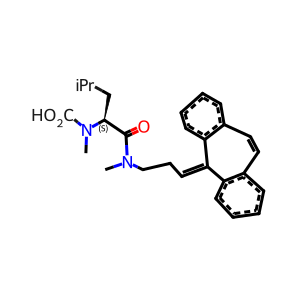 CC(C)C[C@@H](C(=O)N(C)CCC=C1c2ccccc2C=Cc2ccccc21)N(C)C(=O)O